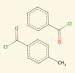 Cc1ccc(C(=O)Cl)cc1.O=C(Cl)c1ccccc1